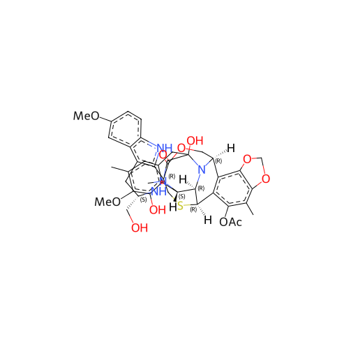 COc1ccc2[nH]c3c(c2c1)C[C@@H](CO)N[C@]31CS[C@@H]2c3c(OC(C)=O)c(C)c4c(c3[C@H](COC1=O)N1[C@@H]2[C@@H]2c3c(cc(C)c(OC)c3O)CC1(O)CN2C)OCO4